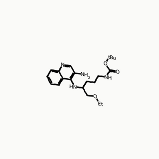 CCOCC(CCCNC(=O)OC(C)(C)C)Nc1c(N)cnc2ccccc12